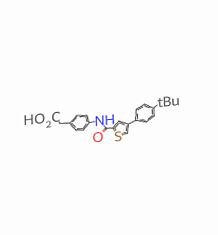 CC(C)(C)c1ccc(-c2csc(C(=O)Nc3ccc(CC(=O)O)cc3)c2)cc1